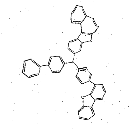 c1ccc(-c2ccc(N(c3ccc(-c4cccc5c4oc4ccccc45)cc3)c3ccc4c(c3)sc3ncc5ccccc5c34)cc2)cc1